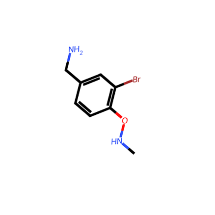 CNOc1ccc(CN)cc1Br